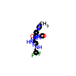 CN1CCN(c2ccc(C(=O)Nc3n[nH]c4nc(NCc5cc(F)cc(F)c5)ccc34)c(NC3CCOCC3)c2)CC1